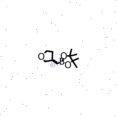 CC1(C)OB(/C=C2\CCOC2)OC1(C)C